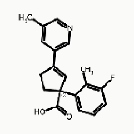 Cc1cncc(C2=C[C@](C(=O)O)(c3cccc(F)c3C)CC2)c1